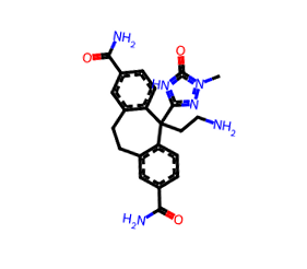 Cn1nc(C2(CCN)c3ccc(C(N)=O)cc3CCc3cc(C(N)=O)ccc32)[nH]c1=O